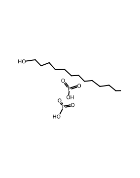 CCCCCCCCCCCCCO.O=P(=O)O.O=P(=O)O